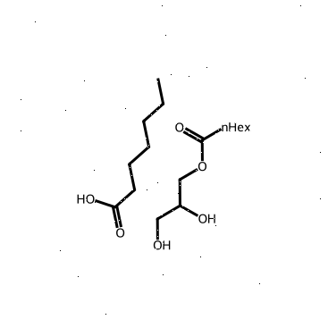 CCCCCCC(=O)O.CCCCCCC(=O)OCC(O)CO